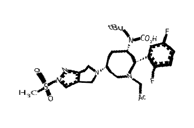 CC(=O)CN1C[C@H](N2Cc3cn(S(C)(=O)=O)nc3C2)C[C@H](N(C(=O)O)C(C)(C)C)[C@@H]1c1cc(F)ccc1F